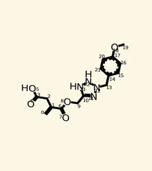 C=C(CC(=O)O)C(=O)OCC1=NN(Cc2ccc(OC)cc2)NN1